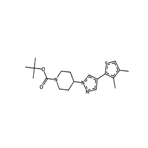 Cc1csc(-c2cnn(C3CCN(C(=O)OC(C)(C)C)CC3)c2)c1C